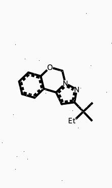 CCC(C)(C)c1cc2n(n1)COc1ccccc1-2